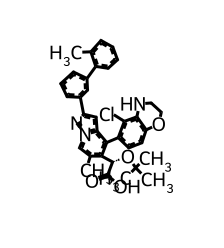 Cc1ccccc1-c1cccc(-c2cc3c(-c4ccc5c(c4Cl)NCCO5)c([C@H](OC(C)(C)C)C(=O)O)c(C)cn3n2)c1